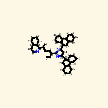 C=C/C(=C\C=C(/C)c1nccc2ccccc12)c1nc(-c2cc3ccccc3c3ccccc23)cc(-c2cc3ccccc3c3ccccc23)n1